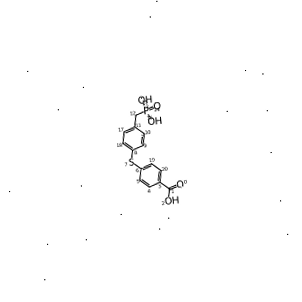 O=C(O)c1ccc(Sc2ccc(CP(=O)(O)O)cc2)cc1